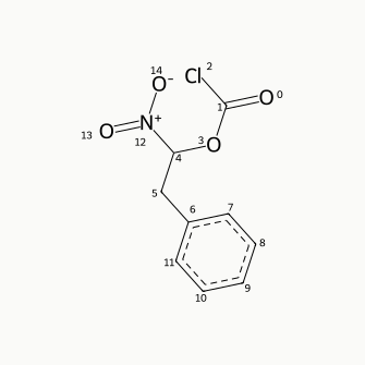 O=C(Cl)OC(Cc1ccccc1)[N+](=O)[O-]